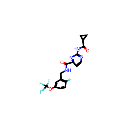 O=C(NCc1cc(OC(F)(F)F)ccc1F)c1ccnc(NC(=O)C2CC2)n1